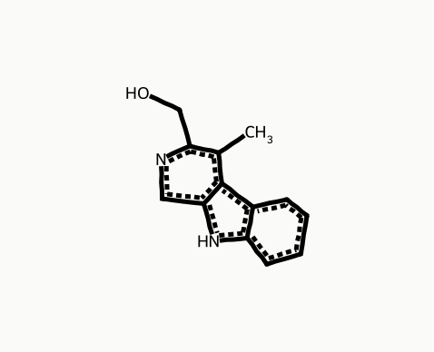 Cc1c(CO)ncc2[nH]c3ccccc3c12